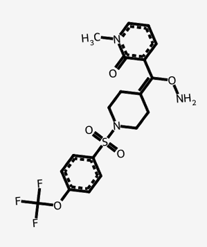 Cn1cccc(C(ON)=C2CCN(S(=O)(=O)c3ccc(OC(F)(F)F)cc3)CC2)c1=O